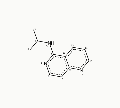 CC(C)Nc1nccc2ncccc12